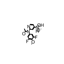 COc1c(F)cc(N(C(C)=O)c2cc([NH+]([O-])O)ccn2)cc1F